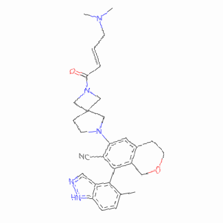 Cc1ccc2[nH]ncc2c1-c1c(C#N)c(N2CCC3(CN(C(=O)/C=C/CN(C)C)C3)C2)cc2c1COCC2